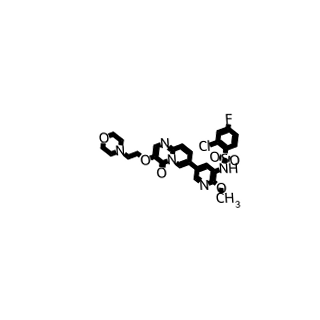 COc1ncc(-c2ccc3ncc(OCCN4CCOCC4)c(=O)n3c2)cc1NS(=O)(=O)c1ccc(F)cc1Cl